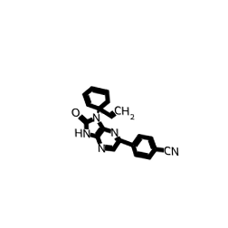 C=C[C@@]1(n2c(=O)[nH]c3ncc(-c4ccc(C#N)cc4)nc32)C=CC=CC1